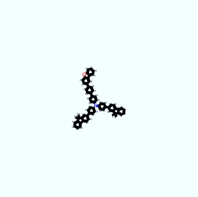 CC1(C)c2ccccc2-c2ccc(-c3ccc(N(c4ccc(-c5ccc(-c6ccc7oc8ccccc8c7c6)cc5)cc4)c4ccc(-c5ccc6c(c5)C(C)(C)c5ccccc5-6)cc4)cc3)cc21